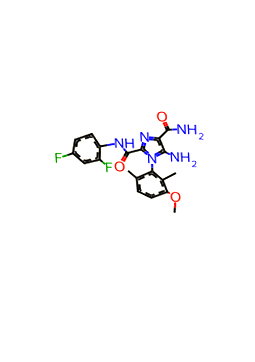 COc1ccc(C)c(-n2c(C(=O)Nc3ccc(F)cc3F)nc(C(N)=O)c2N)c1C